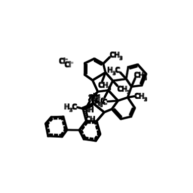 CCCC1=Cc2c(-c3ccccc3)cccc2C1C1=CC=CC2(C)C3(C)C=CC=CC3(C)C3(C)C4(C)C(C)=CC=CC4[CH]([Zr+2][SiH](C)C)C3(C)C12C.[Cl-].[Cl-]